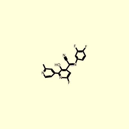 Cc1cc(-c2nc(F)cc(/C(C#N)=N/c3ccc(F)c(F)c3)c2O)ccn1